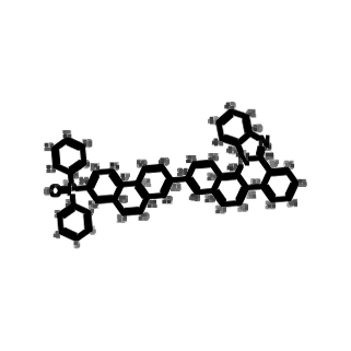 O=P(c1ccccc1)(c1ccccc1)c1ccc2c(ccc3cc(-c4ccc5c(ccc6c7ccccc7c7nc8ccccc8n7c56)c4)ccc32)c1